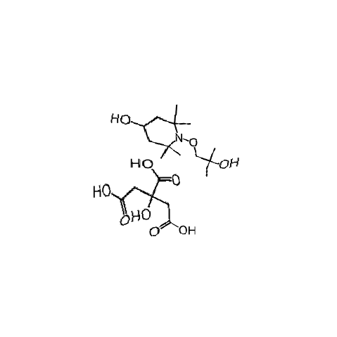 CC(C)(O)CON1C(C)(C)CC(O)CC1(C)C.O=C(O)CC(O)(CC(=O)O)C(=O)O